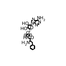 Nc1ncnc2c1ncn2[C@@H]1O[C@H](COS(=O)(=O)NC(=O)[C@@H](N)Cc2ccccc2)[C@@H](O)[C@H]1O